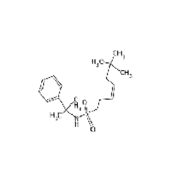 CC(C)(C)C/C=C\CCS(=O)(=O)NC(C)(C)c1ccccc1